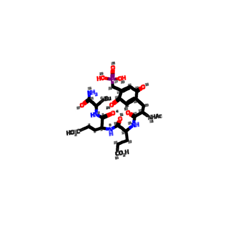 CCC(C)C(NC(=O)C(CCC(=O)O)NC(=O)C(CCC(=O)O)NC(=O)C(CC1=CC(=O)C(CP(=O)(O)O)=CC1=O)NC(C)=O)C(N)=O